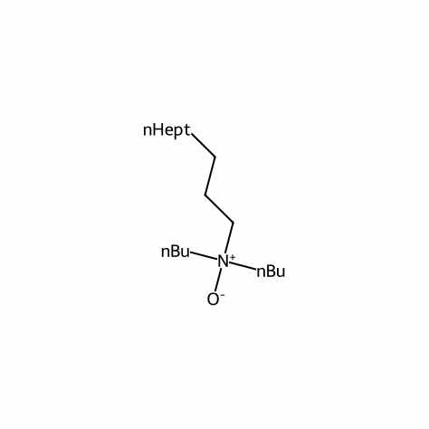 CCCCCCCCCC[N+]([O-])(CCCC)CCCC